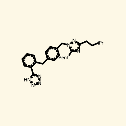 CCCCCc1nc(CCC(C)C)nn1Cc1ccc(Cc2ccccc2-c2nnn[nH]2)cc1